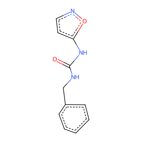 O=C(NCc1ccccc1)Nc1ccno1